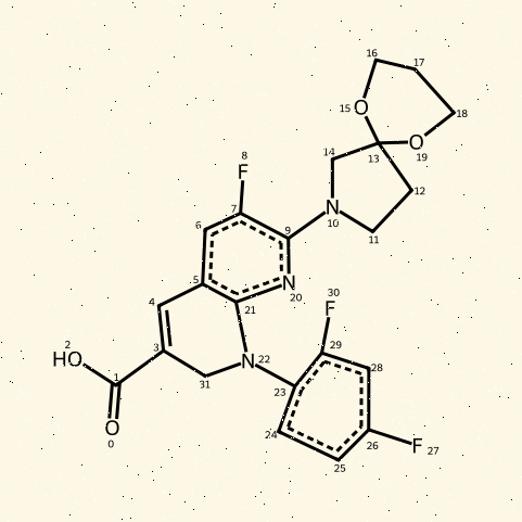 O=C(O)C1=Cc2cc(F)c(N3CCC4(C3)OCCCO4)nc2N(c2ccc(F)cc2F)C1